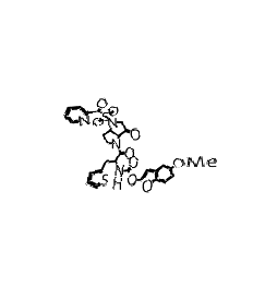 COc1ccc2oc(OC(=O)NC(Cc3cccs3)C(=O)N3CCC4C3C(=O)CN4S(=O)(=O)C(=O)c3ccccn3)cc2c1